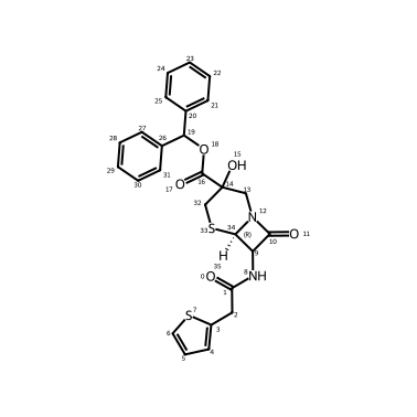 O=C(Cc1cccs1)NC1C(=O)N2CC(O)(C(=O)OC(c3ccccc3)c3ccccc3)CS[C@H]12